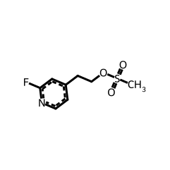 CS(=O)(=O)OCCc1ccnc(F)c1